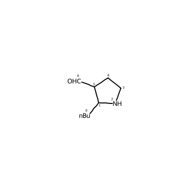 CCCCC1NCCC1C=O